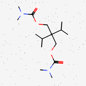 CC(C)C(COC(=O)N(C)C)(COC(=O)N(C)C)C(C)C